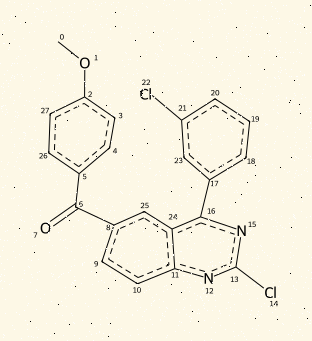 COc1ccc(C(=O)c2ccc3nc(Cl)nc(-c4cccc(Cl)c4)c3c2)cc1